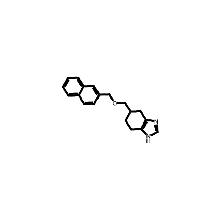 c1ccc2cc(COCC3CCc4[nH]cnc4C3)ccc2c1